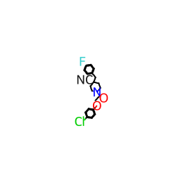 N#CC1(Cc2ccc(F)cc2)CCN(C(=O)COc2ccc(Cl)cc2)CC1